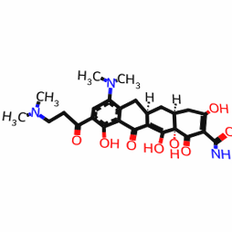 CN(C)CCC(=O)c1cc(N(C)C)c2c(c1O)C(=O)C1=C(O)[C@]3(O)C(=O)C(C(N)=O)=C(O)C[C@@H]3C[C@@H]1C2